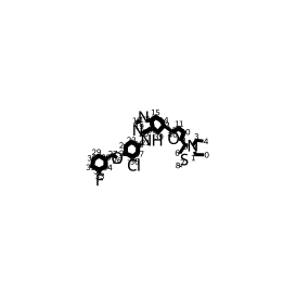 CCN(CC)C(CSC)c1ccc(-c2ccc3ncnc(Nc4ccc(OCc5cccc(F)c5)c(Cl)c4)c3c2)o1